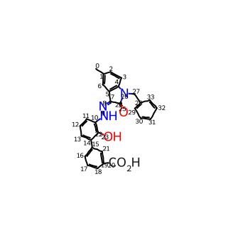 Cc1ccc2c(c1)/C(=N/Nc1cccc(-c3cccc(C(=O)O)c3)c1O)C(=O)N2Cc1ccccc1